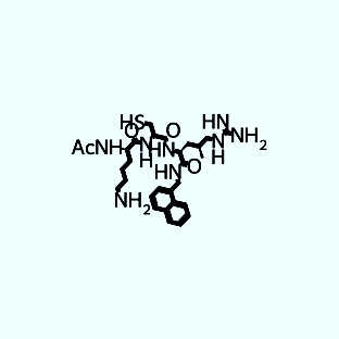 CC(=O)N[C@@H](CCCCN)C(=O)NC(CS)C(=O)N[C@@H](C[C@H](C)CNC(=N)N)C(=O)NCc1cccc2ccccc12